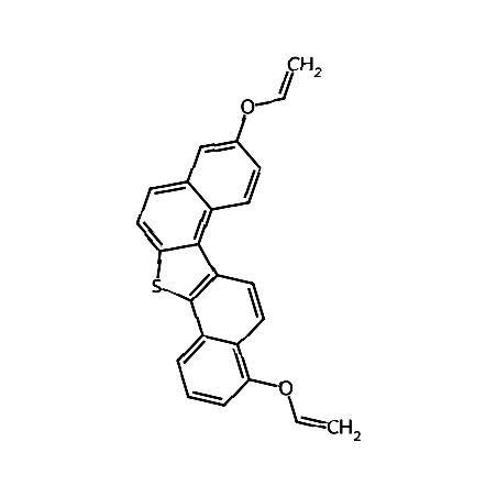 C=COc1ccc2c(ccc3sc4c5cccc(OC=C)c5ccc4c32)c1